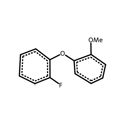 COc1ccccc1Oc1ccc[c]c1F